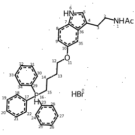 Br.CC(=O)NCCc1c[nH]c2ccc(OCCCC[PH](c3ccccc3)(c3ccccc3)c3ccccc3)cc12